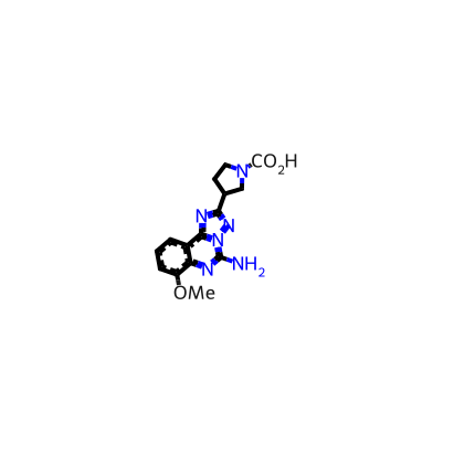 COc1cccc2c1nc(N)n1nc(C3CCN(C(=O)O)C3)nc21